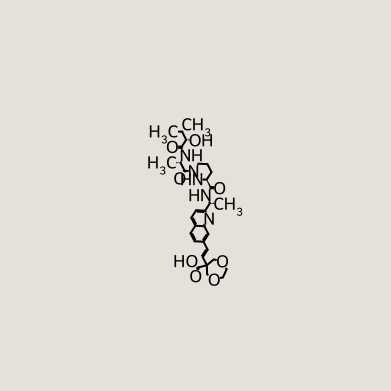 CC(C)[C@H](O)C(=O)N[C@@H](C)C(=O)N1CCC[C@@H](C(=O)N[C@H](C)c2ccc3ccc(C=CC4(C(=O)O)COCCOC4)cc3n2)N1